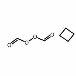 C1CCC1.O=COOC=O